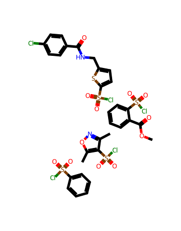 COC(=O)c1ccccc1S(=O)(=O)Cl.Cc1noc(C)c1S(=O)(=O)Cl.O=C(NCc1ccc(S(=O)(=O)Cl)s1)c1ccc(Cl)cc1.O=S(=O)(Cl)c1ccccc1